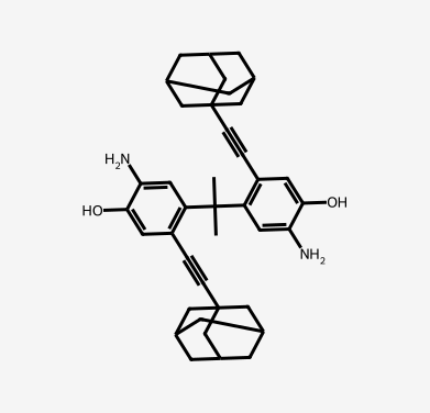 CC(C)(c1cc(N)c(O)cc1C#CC12CC3CC(CC(C3)C1)C2)c1cc(N)c(O)cc1C#CC12CC3CC(CC(C3)C1)C2